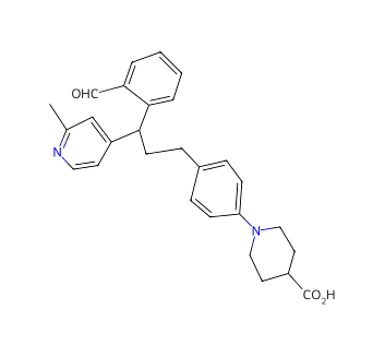 Cc1cc(C(CCc2ccc(N3CCC(C(=O)O)CC3)cc2)c2ccccc2C=O)ccn1